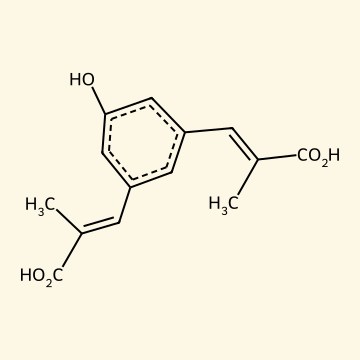 CC(=Cc1cc(O)cc(C=C(C)C(=O)O)c1)C(=O)O